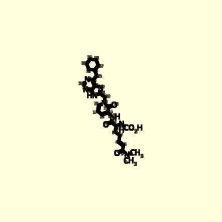 CN(C)C(=O)/C=C/CCC(NC(=O)O)C(=O)Nc1cccn(Cc2nc3c(CC4CCCCC4)ncnc3[nH]2)c1=O